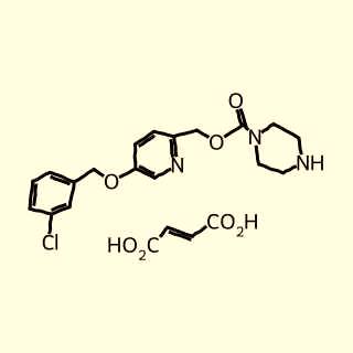 O=C(O)C=CC(=O)O.O=C(OCc1ccc(OCc2cccc(Cl)c2)cn1)N1CCNCC1